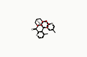 Cc1ccc(OC2CC3CCC2N(C(=O)c2nccc(C)c2-c2ncccc2C)C3)nc1